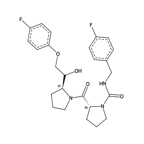 O=C(NCc1ccc(F)cc1)N1CCC[C@@H]1C(=O)N1CCC[C@H]1C(O)COc1ccc(F)cc1